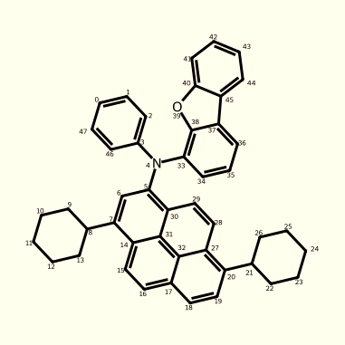 c1ccc(N(c2cc(C3CCCCC3)c3ccc4ccc(C5CCCCC5)c5ccc2c3c45)c2cccc3c2oc2ccccc23)cc1